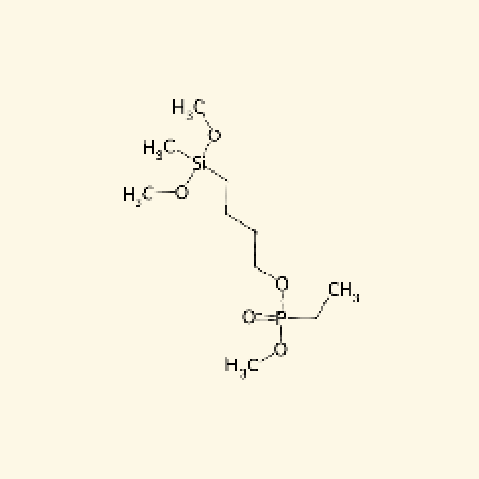 CCP(=O)(OC)OCCCC[Si](C)(OC)OC